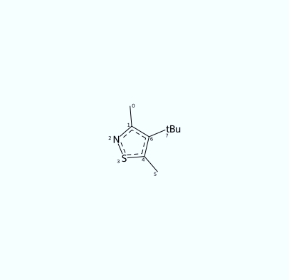 Cc1nsc(C)c1C(C)(C)C